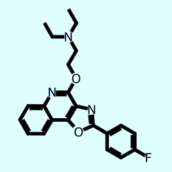 CCN(CC)CCOc1nc2ccccc2c2oc(-c3ccc(F)cc3)nc12